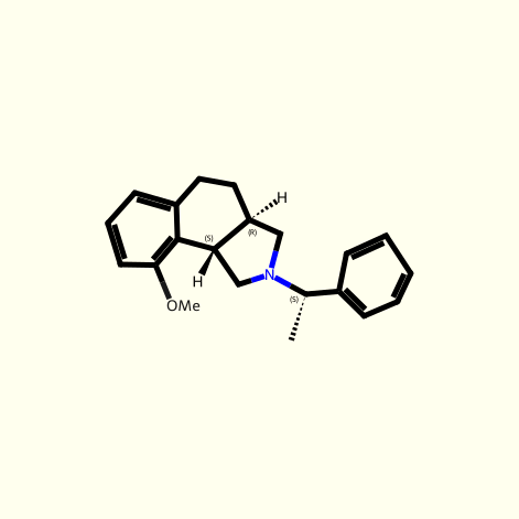 COc1cccc2c1[C@H]1CN([C@@H](C)c3ccccc3)C[C@@H]1CC2